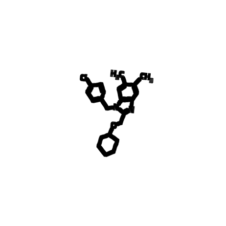 Cc1cc2nc(COC3CCCCC3)n(Cc3ccc(Cl)cc3)c2cc1C